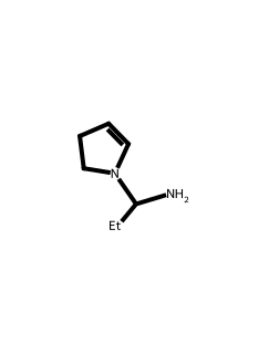 CCC(N)N1C=CCC1